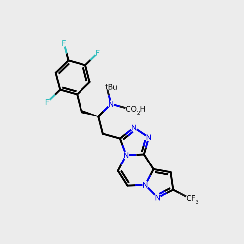 CC(C)(C)N(C(=O)O)[C@H](Cc1cc(F)c(F)cc1F)Cc1nnc2c3cc(C(F)(F)F)nn3ccn12